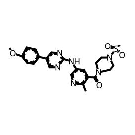 COc1ccc(-c2cnc(Nc3cnc(C)c(C(=O)N4CCN(S(C)(=O)=O)CC4)c3)nc2)cc1